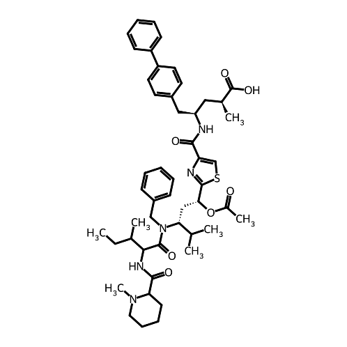 CCC(C)C(NC(=O)C1CCCCN1C)C(=O)N(Cc1ccccc1)[C@H](C[C@@H](OC(C)=O)c1nc(C(=O)N[C@@H](Cc2ccc(-c3ccccc3)cc2)C[C@H](C)C(=O)O)cs1)C(C)C